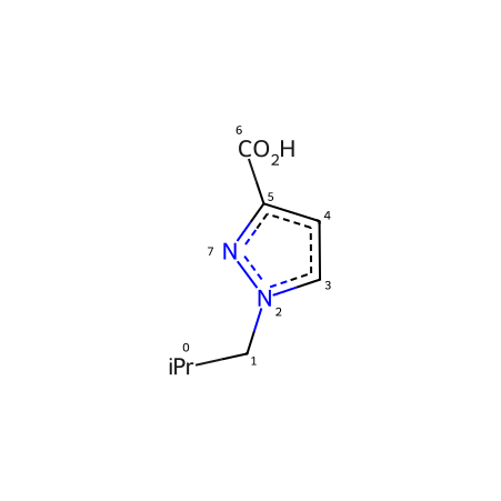 CC(C)Cn1ccc(C(=O)O)n1